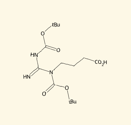 CC(C)(C)OC(=O)NC(=N)N(CCCC(=O)O)C(=O)OC(C)(C)C